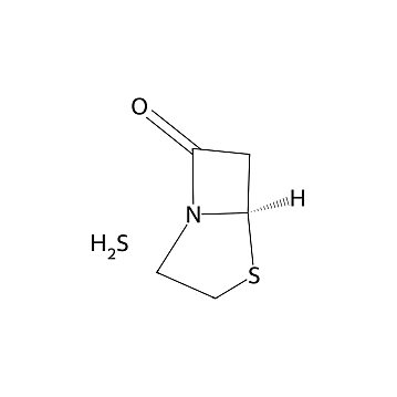 O=C1C[C@H]2SCCN12.S